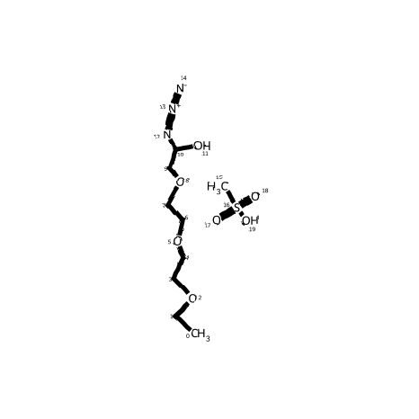 CCOCCOCCOCC(O)N=[N+]=[N-].CS(=O)(=O)O